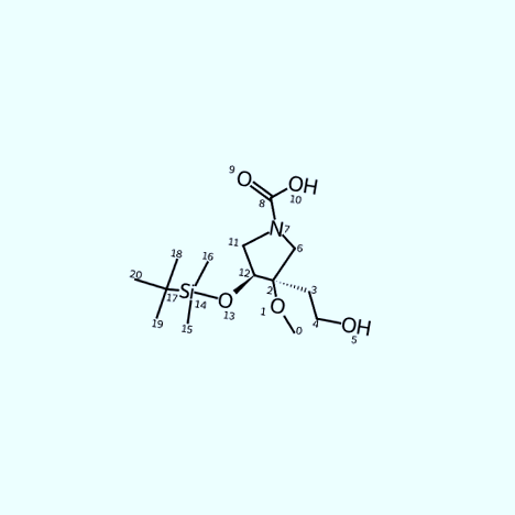 CO[C@]1(CCO)CN(C(=O)O)C[C@@H]1O[Si](C)(C)C(C)(C)C